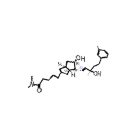 Cc1cccc(CC[C@@](C)(O)/C=C/[C@@H]2[C@H]3CC(CCCCC(=O)N(C)C)=C[C@H]3C[C@H]2O)c1